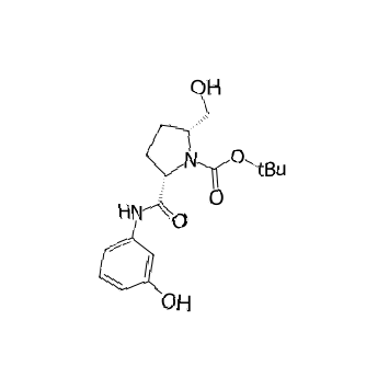 CC(C)(C)OC(=O)N1[C@@H](CO)CC[C@H]1C(=O)Nc1cccc(O)c1